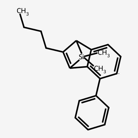 CCCCC1=C2c3c(-c4ccccc4)[c]ccc3C1[Si]2(C)C